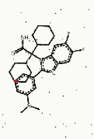 CN(C)c1cccc(-c2nc3cc(F)c(F)cc3n2C(C(N)=O)(C2CCCCC2)C2CCCCC2)c1